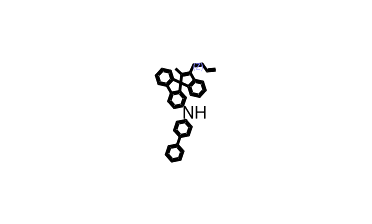 C=C/C=C\C1=C(C)C2(c3ccccc31)c1ccccc1-c1ccc(Nc3ccc(-c4ccccc4)cc3)cc12